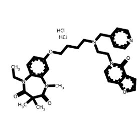 CCN1C(=O)C(C)(C)C(=O)N(C)c2cc(OCCCCN(CCn3ccc4occc4c3=O)Cc3ccncc3)ccc21.Cl.Cl